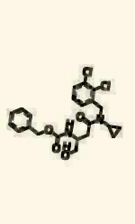 O=C(N[C@H](CO)CC(=O)N(Cc1cccc(Cl)c1Cl)C1CC1)OCc1ccccc1